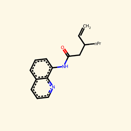 C=CC(CCC)CC(=O)Nc1cccc2cccnc12